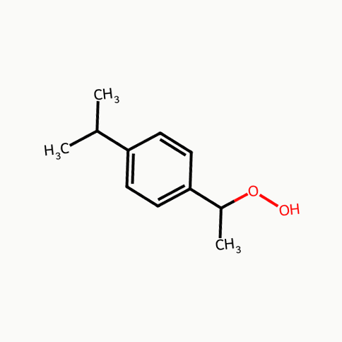 CC(C)c1ccc(C(C)OO)cc1